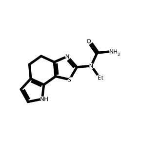 CCN(C(N)=O)c1nc2c(s1)-c1[nH]ccc1CC2